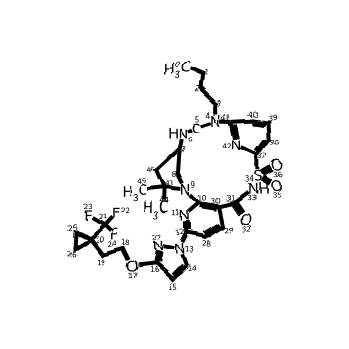 CCCCN1CNC2CN(c3nc(-n4ccc(OCCC5(C(F)(F)F)CC5)n4)ccc3C(=O)NS(=O)(=O)c3cccc1n3)C(C)(C)C2